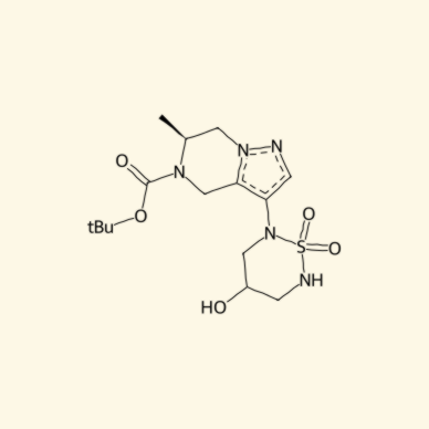 C[C@H]1Cn2ncc(N3CC(O)CNS3(=O)=O)c2CN1C(=O)OC(C)(C)C